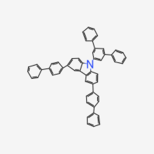 c1ccc(-c2ccc(-c3ccc4c(c3)c3cc(-c5ccc(-c6ccccc6)cc5)ccc3n4-c3cc(-c4ccccc4)cc(-c4ccccc4)c3)cc2)cc1